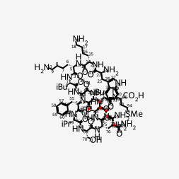 CC[C@H](C)[C@H](NC(=O)[C@H](CCCCN)NC(=O)[C@H](CCCCN)NC(=O)[C@@H](N)Cc1c[nH]c2ccccc12)C(=O)N[C@@H](C)C(=O)N[C@@H](CCCN=C(N)N)C(=O)N[C@@H](Cc1ccccc1)C(=O)N[C@H](C(=O)N[C@@H](CO)C(=O)N[C@@H](CCC(N)=O)C(=O)N[C@H](C(=O)N[C@H](C(=O)N[C@@H](CCSC)C(=O)O)[C@@H](C)CC)C(C)C)C(C)C